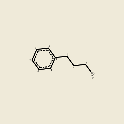 [S]CCCc1ccccc1